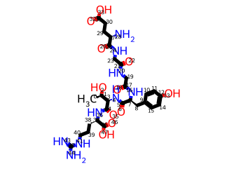 C[C@@H](O)[C@H](NC(=O)[C@H](Cc1ccc(O)cc1)NC(=O)CNC(=O)CNC(=O)[C@@H](N)CCC(=O)O)C(=O)N[C@@H](CCCNC(=N)N)C(=O)O